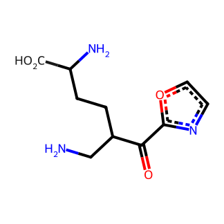 NCC(CCC(N)C(=O)O)C(=O)c1ncco1